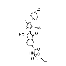 CCCCS(=O)(=O)NC(=O)c1ccc2c(c1)C(=O)N(c1sc(C)c(-c3ccc(OC)cc3)c1C#N)C2O